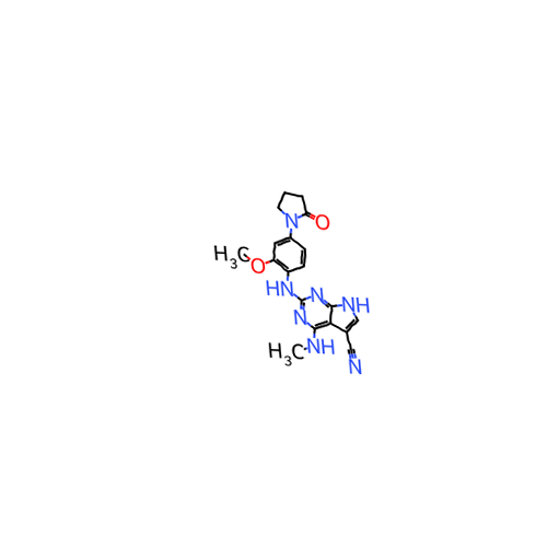 CNc1nc(Nc2ccc(N3CCCC3=O)cc2OC)nc2[nH]cc(C#N)c12